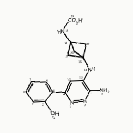 Nc1nnc(-c2ccccc2O)cc1NC12CC(NC(=O)O)(C1)C2